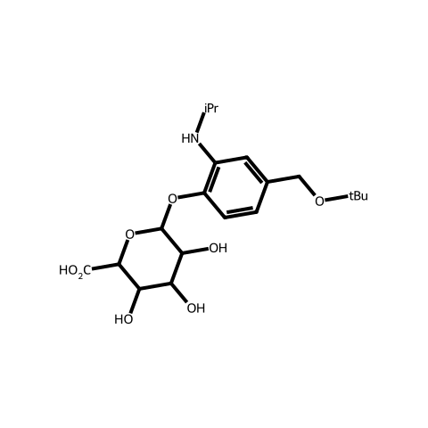 CC(C)Nc1cc(COC(C)(C)C)ccc1OC1OC(C(=O)O)C(O)C(O)C1O